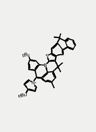 Cc1cc2c3c(c1)C(C)(C)c1c(sc4cc5c(cc14)-c1ccccc1C5(C)C)B3c1cc(C(C)(C)C)ccc1C2[n+]1ccc(C(C)(C)C)cc1